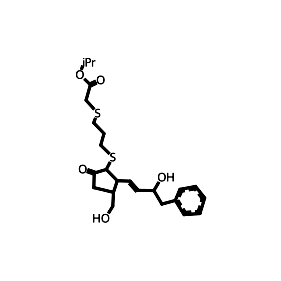 CC(C)OC(=O)CSCCCSC1C(=O)CC(CO)C1/C=C/C(O)Cc1ccccc1